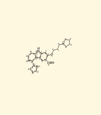 COc1cc2c(cc1OCCCN1CCCC1)[nH]c1ccnc(-c3nccs3)c12